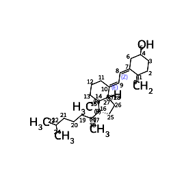 C=C1CCC(O)C/C1=C/C=C1\CCC[C@]2(C)[C@@H]([C@H](C)CCCC(C)C)CC[C@@H]12